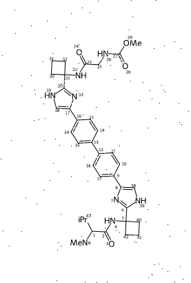 CNC(C(=O)NC1(c2nc(-c3ccc(-c4ccc(-c5c[nH]c(C6(NC(=O)CNC(=O)OC)CCC6)n5)cc4)cc3)c[nH]2)CCC1)C(C)C